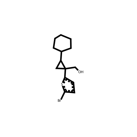 OCC1(c2ccc(Br)s2)CC1C1CCCCC1